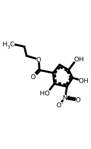 CCCOC(=O)c1cc(O)c(O)c([N+](=O)[O-])c1O